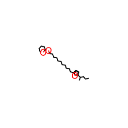 CCCC(C)c1ccc(CCCCCCCCCCCOC2CCCCO2)o1